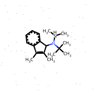 CC1=C(C)C(N([SiH](C)C)C(C)(C)C)c2ccccc21